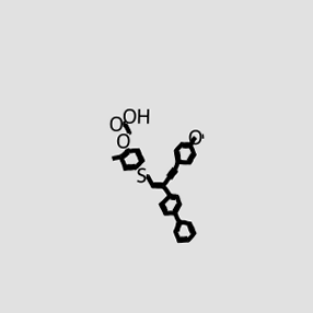 COc1ccc(C#C/C(=C\CSc2ccc(OCC(=O)O)c(C)c2)c2ccc(-c3ccccc3)cc2)cc1